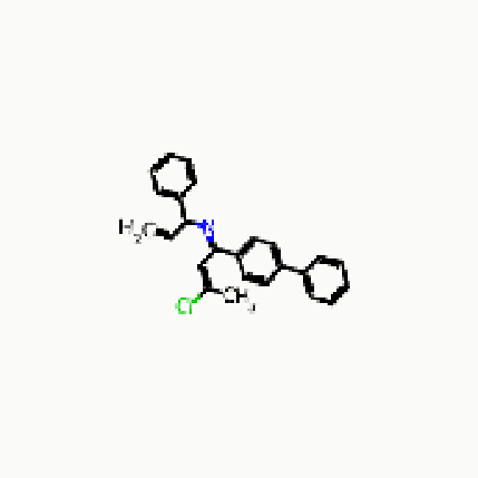 C=CC(/N=C(\C=C(/C)Cl)c1ccc(-c2ccccc2)cc1)c1ccccc1